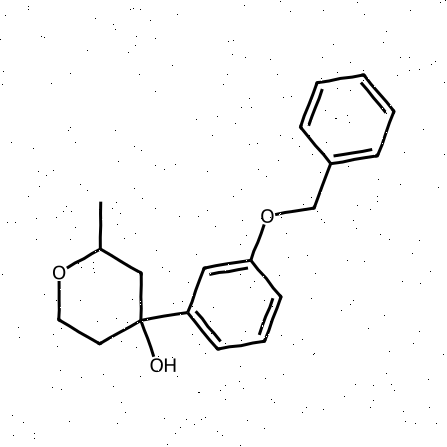 CC1CC(O)(c2cccc(OCc3ccccc3)c2)CCO1